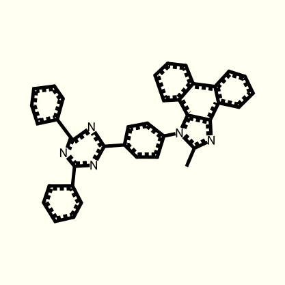 Cc1nc2c3ccccc3c3ccccc3c2n1-c1ccc(-c2nc(-c3ccccc3)nc(-c3ccccc3)n2)cc1